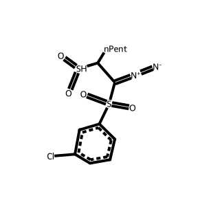 CCCCCC(C(=[N+]=[N-])S(=O)(=O)c1cccc(Cl)c1)[SH](=O)=O